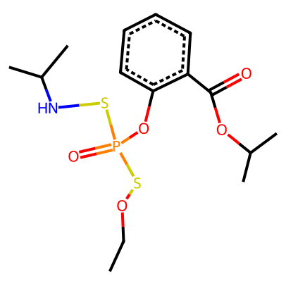 CCOSP(=O)(Oc1ccccc1C(=O)OC(C)C)SNC(C)C